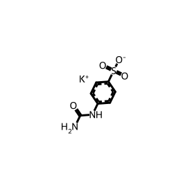 NC(=O)Nc1ccc(S(=O)(=O)[O-])cc1.[K+]